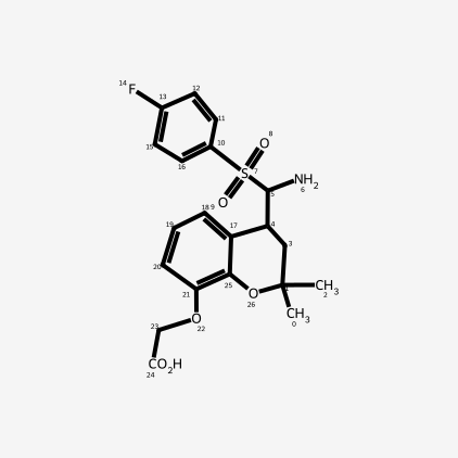 CC1(C)CC(C(N)S(=O)(=O)c2ccc(F)cc2)c2cccc(OCC(=O)O)c2O1